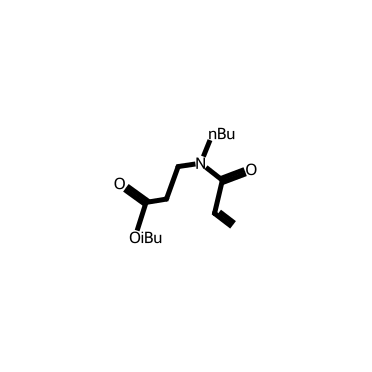 C=CC(=O)N(CCCC)CCC(=O)OCC(C)C